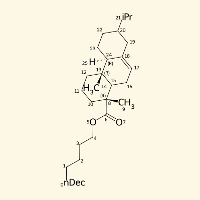 CCCCCCCCCCCCCCOC(=O)[C@]1(C)CCC[C@@]2(C)C1CC=C1CC(C(C)C)CC[C@@H]12